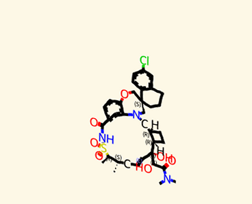 C[C@@H]1[C@@H](C)C/C=C/[C@@](O)([C@H](O)C(=O)N(C)C)[C@@H]2CC[C@H]2CN2C[C@@]3(CCCc4cc(Cl)ccc43)COc3ccc(cc32)C(=O)NS1(=O)=O